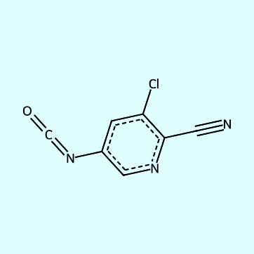 N#Cc1ncc(N=C=O)cc1Cl